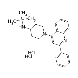 CC(C)(C)NC1CCN(c2cc(-c3ccccc3)nc3ccccc23)CC1.Cl.Cl